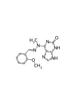 COc1ccccc1C=NN(C)c1nc(=O)[nH]c2[nH]cnc12